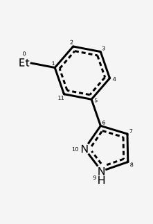 [CH2]Cc1cccc(-c2cc[nH]n2)c1